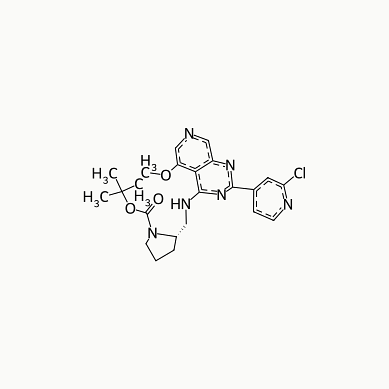 COc1cncc2nc(-c3ccnc(Cl)c3)nc(NC[C@@H]3CCCN3C(=O)OC(C)(C)C)c12